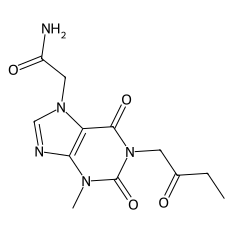 CCC(=O)Cn1c(=O)c2c(ncn2CC(N)=O)n(C)c1=O